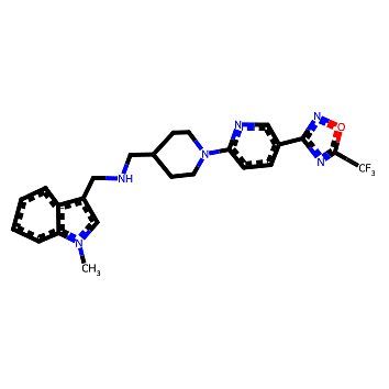 Cn1cc(CNCC2CCN(c3ccc(-c4noc(C(F)(F)F)n4)cn3)CC2)c2ccccc21